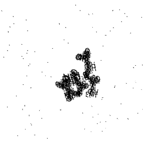 CCNC(=O)Nc1ccc(-c2nc3c(c(N4CCOC[C@@H]4C)n2)CCN(CCS(C)(=O)=O)C3)cc1.Cc1cc(N2CCc3c(nc(-c4ccc(NC(=O)NC5COC5)cc4)nc3N3CCOC[C@@H]3C)C2)ncn1.O=C(Nc1ccc(-c2nc3c(c(N4CCOCC4)n2)CCN2C(=O)CC[C@@H]32)cc1)NC1COC1.O=C(Nc1ccc(-c2nc3c(c(N4CCOCC4)n2)CCN2C(=O)CC[C@H]32)cc1)NC1COC1